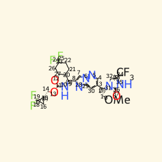 COC[C@H](c1cnn2cc([C@@H](NC(=O)OC[C@@H]3CC3(F)F)C3CCC(F)(F)CC3)nc2c1)N1C[C@@H](C(F)(F)F)NC1=O